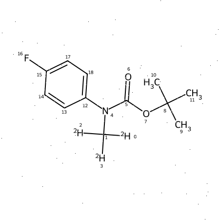 [2H]C([2H])([2H])N(C(=O)OC(C)(C)C)c1ccc(F)cc1